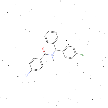 CN(C(=O)c1ccc(N)cc1)[C@H](c1ccccc1)c1ccc(Cl)cc1